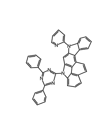 c1ccc(-c2nc(-c3ccccc3)nc(-n3c4cccc5ccc6c7c8ccccc8n(-c8ccccn8)c7cc3c6c54)n2)cc1